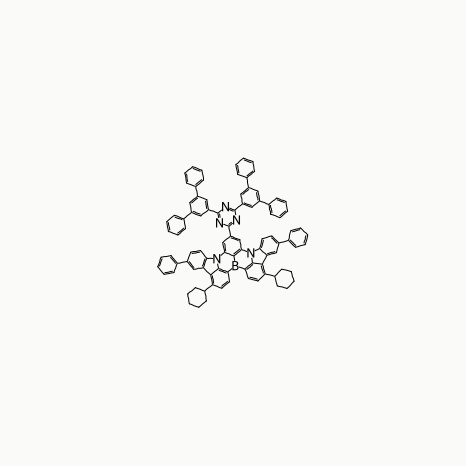 c1ccc(-c2cc(-c3ccccc3)cc(-c3nc(-c4cc(-c5ccccc5)cc(-c5ccccc5)c4)nc(-c4cc5c6c(c4)-n4c7ccc(-c8ccccc8)cc7c7c(C8CCCCC8)ccc(c74)B6c4ccc(C6CCCCC6)c6c7cc(-c8ccccc8)ccc7n-5c46)n3)c2)cc1